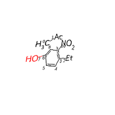 CC(C)=O.CCc1ccc(O)cc1[N+](=O)[O-]